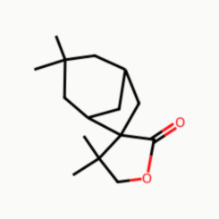 CC1(C)CC2CC(C1)C1(C2)C(=O)OCC1(C)C